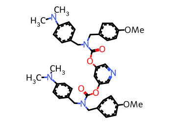 COc1ccc(CN(Cc2ccc(N(C)C)cc2)C(=O)Oc2cncc(OC(=O)N(Cc3ccc(OC)cc3)Cc3ccc(N(C)C)cc3)c2)cc1